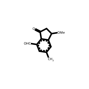 CO[C]1CC(=O)c2c(C=O)cc(C)cc21